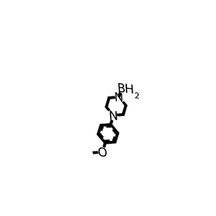 BN1CCN(c2ccc(OC)cc2)CC1